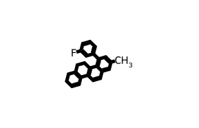 Cc1cc(-c2cccc(F)c2)c2c3c(ccc2c1)C1=C(CCC=C1)CC3